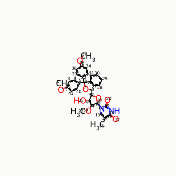 COc1ccc(C(OC[C@H]2O[C@@H](n3cc(C)c(=O)[nH]c3=O)[C@H](OC)[C@@H]2O)(c2ccccc2)c2ccc(OC)cc2)cc1